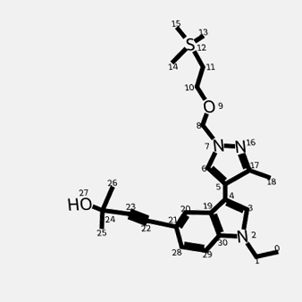 CCn1cc(-c2cn(COCCS(C)(C)C)nc2C)c2cc(C#CC(C)(C)O)ccc21